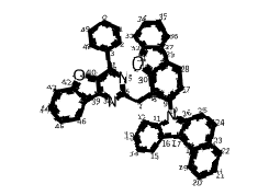 c1ccc(-c2nc(Cc3c(-n4c5ccccc5c5c6ccccc6ccc54)ccc4c3oc3ccccc34)nc3c2oc2ccccc23)cc1